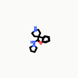 O=C(NN1CCCC1)C1(c2ccccc2)CCNCC1